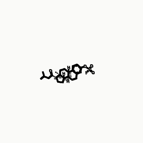 CC(C)CC(=O)[C@H]1CC[C@H]2[C@@H]3CCc4cc(OS(=O)(=O)F)ccc4[C@H]3CC[C@]12C